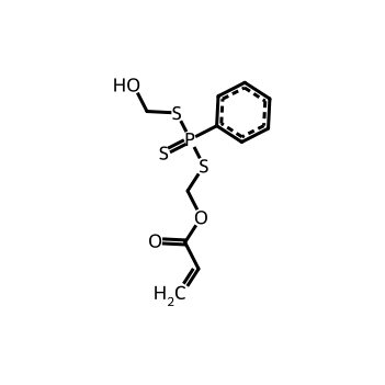 C=CC(=O)OCSP(=S)(SCO)c1ccccc1